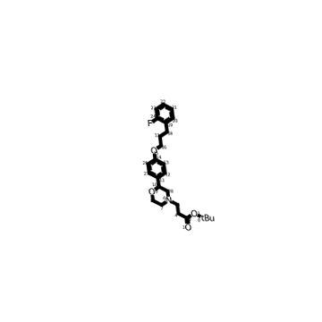 CC(C)(C)OC(=O)CCN1CCOC(c2ccc(OCCCc3ccccc3F)cc2)C1